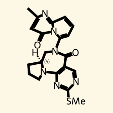 CSc1ncc2c(n1)N1CCC[C@H]1CN(c1cccc3nc(C)cc(=O)n13)C2=O